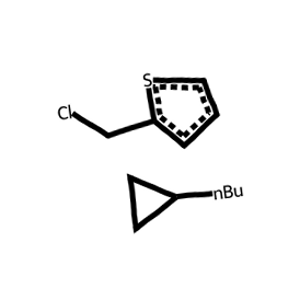 CCCCC1CC1.ClCc1cccs1